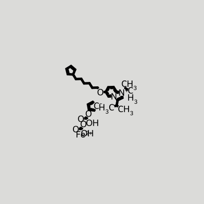 CC(C)c1c[n+](C(C)C)c2ccc(OCCCCCCC3C=CC=C3)cn12.O=C([O-])O.O=C([O-])O.[Fe+2].c1cc[cH-]c1